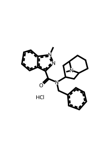 CN1C2CCCC1CC(N(Cc1ccccc1)C(=O)c1nn(C)c3ccccc13)C2.Cl